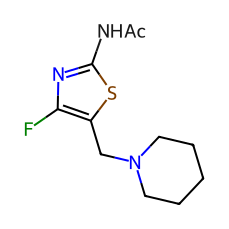 CC(=O)Nc1nc(F)c(CN2CCCCC2)s1